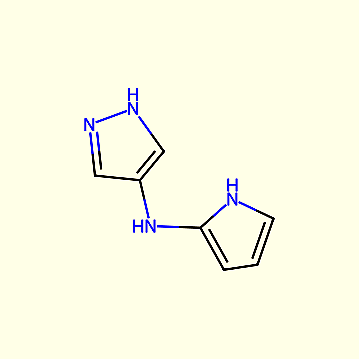 c1c[nH]c(Nc2cn[nH]c2)c1